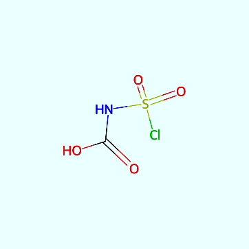 O=C(O)NS(=O)(=O)Cl